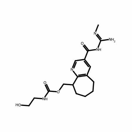 CN=C(N)NC(=O)c1cnc2c(c1)CCCCC2COC(=O)NCCO